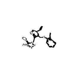 C#Cc1coc(-n2nn[nH]c2=O)c1COc1ccccc1C